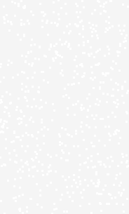 C[CH]CCCCCCCCCC